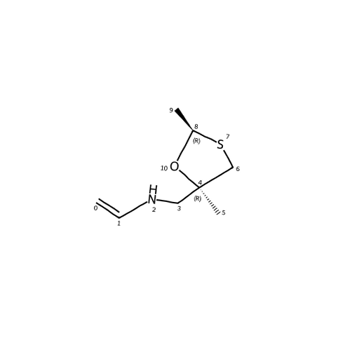 C=CNC[C@]1(C)CS[C@H](C)O1